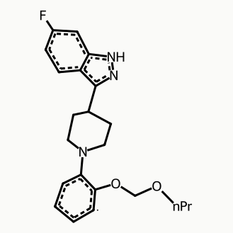 CCCOCOc1[c]cccc1N1CCC(c2n[nH]c3cc(F)ccc23)CC1